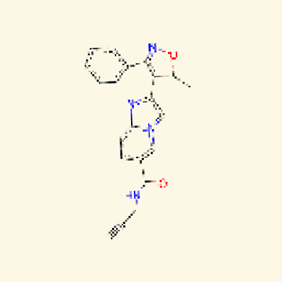 C#CCNC(=O)c1ccc2nc(-c3c(-c4ccccc4)noc3C)cn2c1